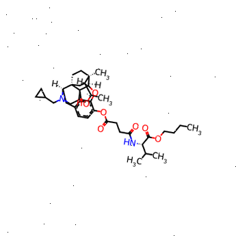 CCCCOC(=O)[C@@H](NC(=O)CCC(=O)Oc1ccc2c3c1O[C@H]1[C@]4(C)CC[C@@]5(C[C@@H]4C(C)O)[C@@H](C2)N(CC2CC2)CC[C@]315)C(C)C